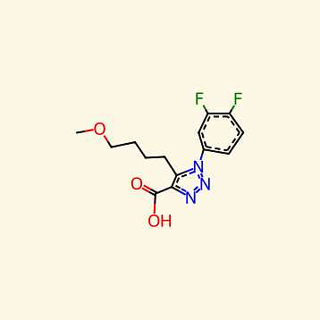 COCCCCc1c(C(=O)O)nnn1-c1ccc(F)c(F)c1